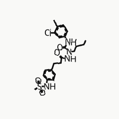 CCCCN(NC(=O)CCc1ccc(NS(C)(=O)=O)cc1)C(=O)Nc1ccc(C)c(Cl)c1